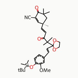 COc1cc(/C=C/C2(C(C)(C)C(=O)/C=C/[C@@]3(C)C=C(C#N)C(=O)C(C)(C)C3)OCCO2)ccc1O[Si](C)(C)C(C)(C)C